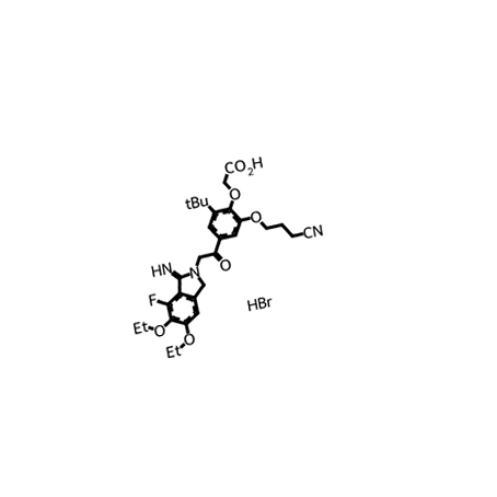 Br.CCOc1cc2c(c(F)c1OCC)C(=N)N(CC(=O)c1cc(OCCCC#N)c(OCC(=O)O)c(C(C)(C)C)c1)C2